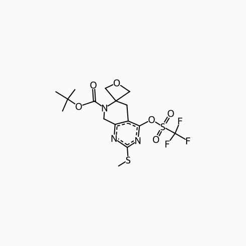 CSc1nc2c(c(OS(=O)(=O)C(F)(F)F)n1)CC1(COC1)N(C(=O)OC(C)(C)C)C2